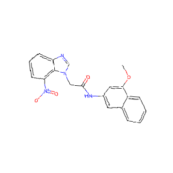 COc1cc(NC(=O)Cn2cnc3cccc([N+](=O)[O-])c32)cc2ccccc12